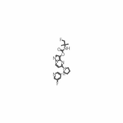 CC(C)(CF)NC(=O)Oc1cnn2ccc(N3CCC[C@@H]3c3cncc(F)c3)nc12